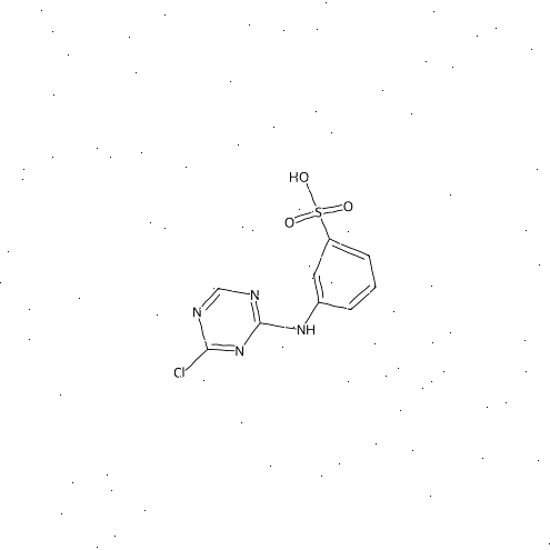 O=S(=O)(O)c1cccc(Nc2n[c]nc(Cl)n2)c1